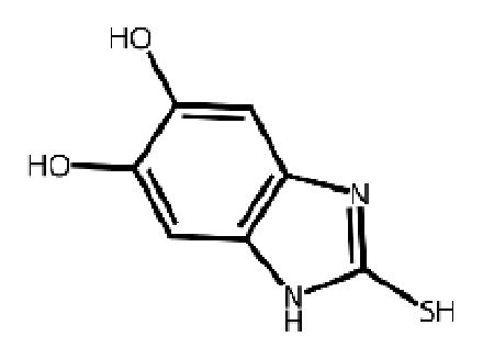 Oc1cc2nc(S)[nH]c2cc1O